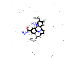 COc1ccc(-c2ccc(CCC(=O)O)n2-c2ccc(C(N)=O)cc2CN)cc1Cl